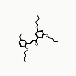 CCCCOc1cc(OCCCC)cc(C(=O)/C=C/c2cc(CC)ccc2OCCCC)c1